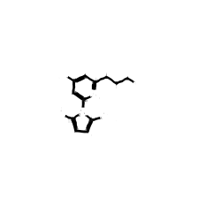 Cc1cc(CCCC(=O)O)nc(-n2c(C)ccc2C)c1